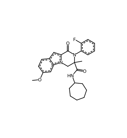 COc1ccc2cc3n(c2c1)CC(C)(C(=O)NC1CCCCCC1)N(c1ccccc1F)C3=O